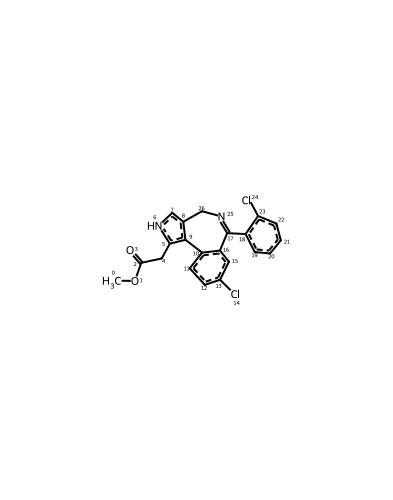 COC(=O)Cc1[nH]cc2c1-c1ccc(Cl)cc1C(c1ccccc1Cl)=NC2